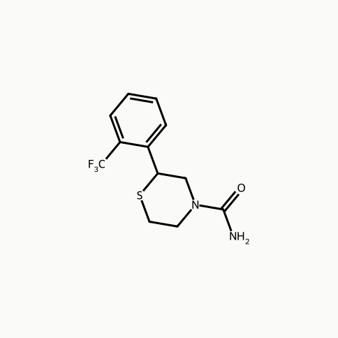 NC(=O)N1CCSC(c2ccccc2C(F)(F)F)C1